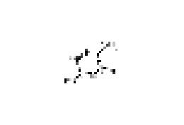 Cc1nc(O)ncc1N